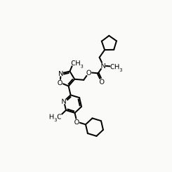 Cc1nc(-c2onc(C)c2COC(=O)N(C)CC2CCCC2)ccc1OC1CCCCC1